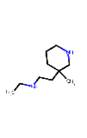 CCNCCC1(C)CCCNC1